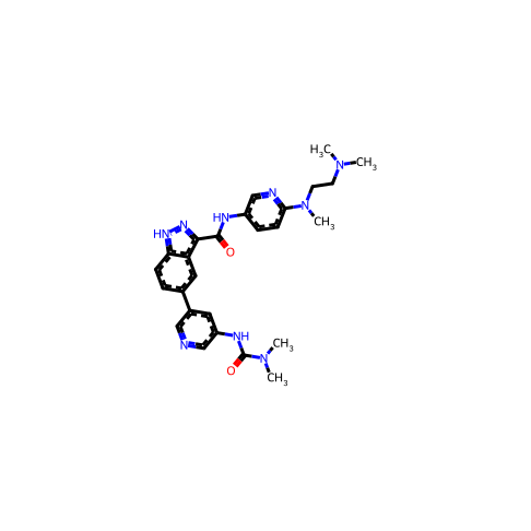 CN(C)CCN(C)c1ccc(NC(=O)c2n[nH]c3ccc(-c4cncc(NC(=O)N(C)C)c4)cc23)cn1